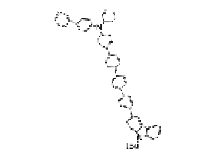 CC(C)(C)n1c2ccccc2c2cc(-c3ccc(-c4ccc(-c5ccc(C6=CC=C(N(c7ccccc7)c7ccc(-c8ccccc8)cc7)CC6)cc5)cc4)cc3)ccc21